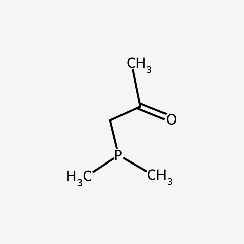 CC(=O)CP(C)C